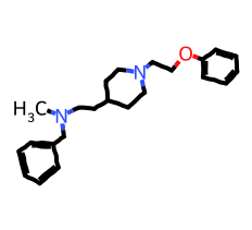 CN(CCC1CCN(CCOc2ccccc2)CC1)Cc1ccccc1